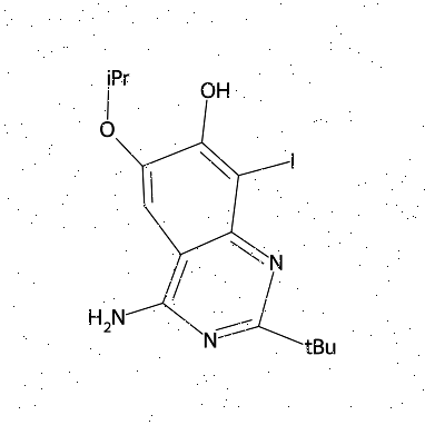 CC(C)Oc1cc2c(N)nc(C(C)(C)C)nc2c(I)c1O